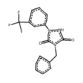 O=c1[nH]n(-c2cccc(C(F)(F)F)c2)c(=O)n1Cc1ccccc1